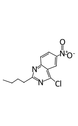 CCCCc1nc(Cl)c2cc([N+](=O)[O-])ccc2n1